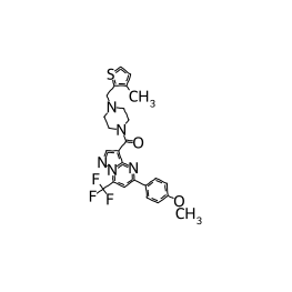 COc1ccc(-c2cc(C(F)(F)F)n3ncc(C(=O)N4CCN(Cc5sccc5C)CC4)c3n2)cc1